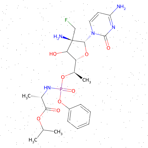 CC(C)OC(=O)[C@H](C)NP(=O)(Oc1ccccc1)O[C@H](C)[C@H]1O[C@@H](n2ccc(N)nc2=O)[C@@](N)(CF)C1O